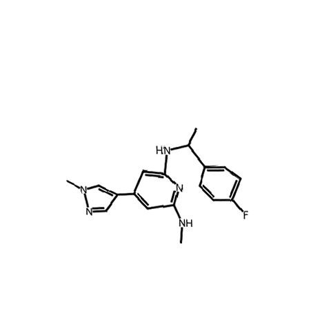 CNc1cc(-c2cnn(C)c2)cc(NC(C)c2ccc(F)cc2)n1